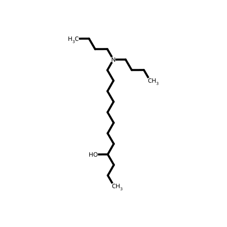 CCCCN(CCCC)CCCCCCCCC(O)CCC